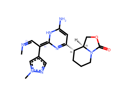 C/N=C\C(=C1\N=C([C@H]2CCCN3C(=O)OC[C@H]23)C=C(N)N1)c1cnn(C)c1